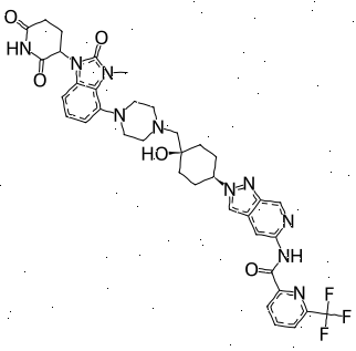 Cn1c(=O)n(C2CCC(=O)NC2=O)c2cccc(N3CCN(C[C@]4(O)CC[C@@H](n5cc6cc(NC(=O)c7cccc(C(F)(F)F)n7)ncc6n5)CC4)CC3)c21